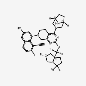 [2H]C1([2H])CC[C@@]2(C([2H])([2H])Oc3nc4c(c(N5C[C@H]6CC[C@@H](C5)N6)n3)CCN(c3cc(O)cc5ccc(F)c(C#C)c35)C4)C[C@@H](F)CN12